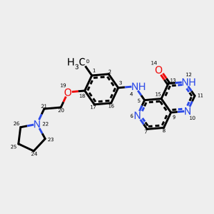 Cc1cc(Nc2nccc3nc[nH]c(=O)c23)ccc1OCCN1CCCC1